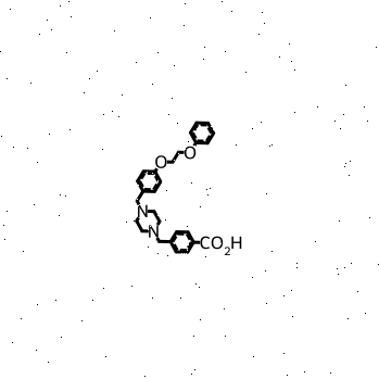 O=C(O)c1ccc(CN2CCN(Cc3ccc(OCCOc4ccccc4)cc3)CC2)cc1